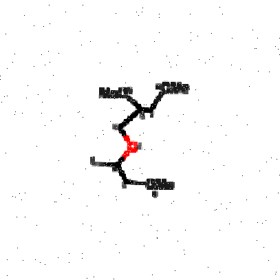 COCC(C)OCC(COC)OC